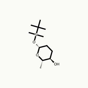 C[C@@H]1O[C@H](O[Si](C)(C)C(C)(C)C)CC[C@H]1O